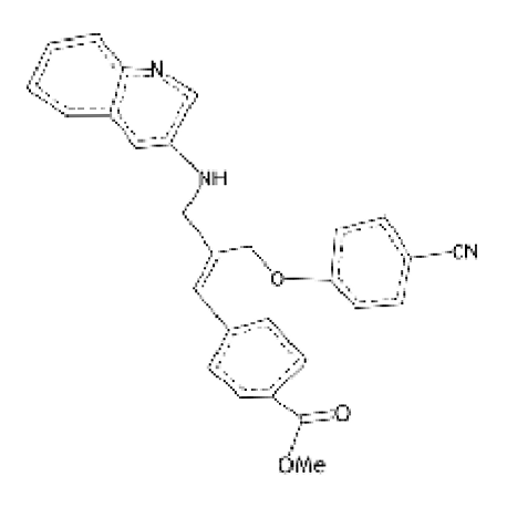 COC(=O)c1ccc(C=C(CNc2cnc3ccccc3c2)COc2ccc(C#N)cc2)cc1